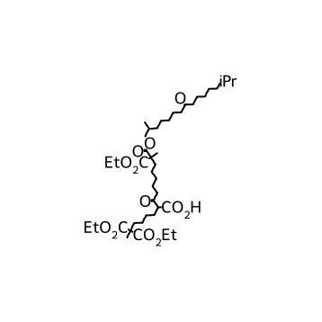 CCOC(=O)C(C)(CCCCC(C(=O)O)C(=O)CCCCCC(C)(C(=O)OCC)C(=O)OCC(C)CCCCCC(=O)CCCCCC(C)C)C(=O)OCC